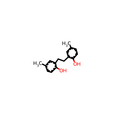 Cc1ccc(O)c(CCc2cc(C)ccc2O)c1